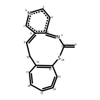 C=C1/N=c2/ccnc/c2=C/CC2=C(C=C=CC=C2)S1